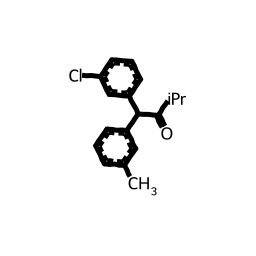 Cc1cccc(C(C(=O)C(C)C)c2cccc(Cl)c2)c1